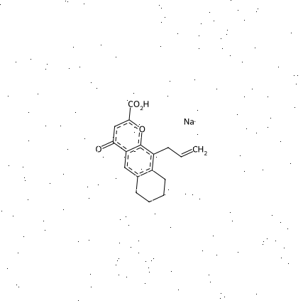 C=CCc1c2c(cc3c(=O)cc(C(=O)O)oc13)CCCC2.[Na]